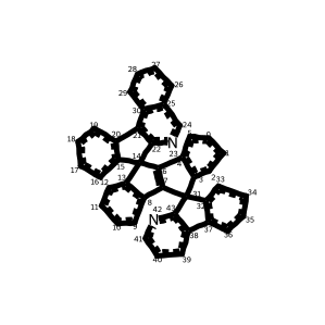 c1ccc2c(c1)C1=C(c3ccccc3C13c1ccccc1-c1c3ncc3ccccc13)C21c2ccccc2-c2cccnc21